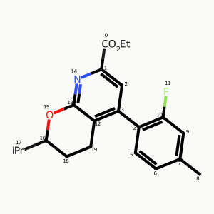 CCOC(=O)c1cc(-c2ccc(C)cc2F)c2c(n1)OC(C(C)C)CC2